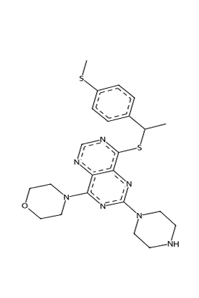 CSc1ccc(C(C)Sc2ncnc3c(N4CCOCC4)nc(N4CCNCC4)nc23)cc1